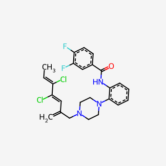 C=C(C=C(Cl)C(Cl)=CC)CN1CCN(c2ccccc2NC(=O)c2ccc(F)c(F)c2)CC1